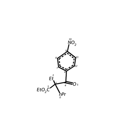 CCCC(CC)(C(=O)OCC)C(=O)c1ccc([N+](=O)[O-])cc1